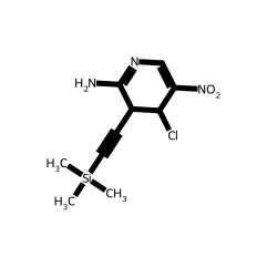 C[Si](C)(C)C#CC1C(N)=NC=C([N+](=O)[O-])C1Cl